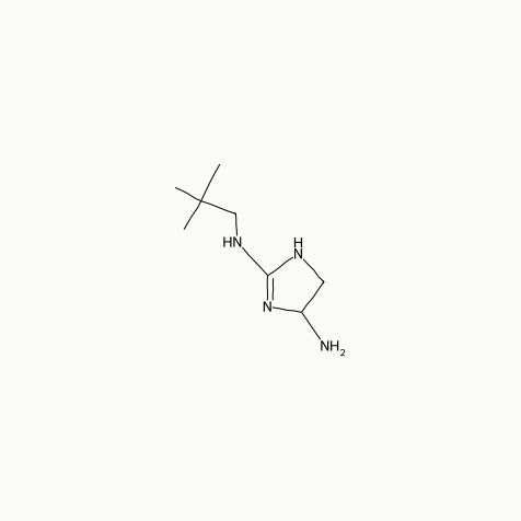 CC(C)(C)CNC1=NC(N)CN1